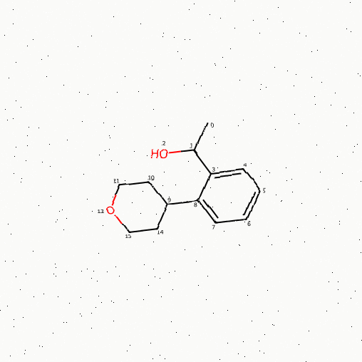 CC(O)c1ccccc1C1CCOCC1